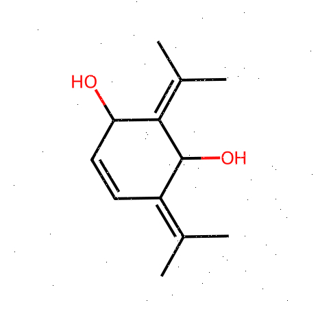 CC(C)=C1C=CC(O)C(=C(C)C)C1O